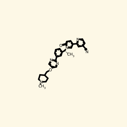 C[C@H](c1cccc(-c2ncc(OCC3CCN(C)CC3)cn2)c1)n1cc(-c2cc(C#N)ccn2)ccc1=O